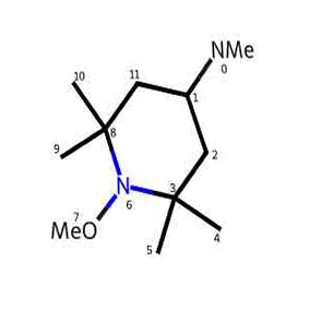 CNC1CC(C)(C)N(OC)C(C)(C)C1